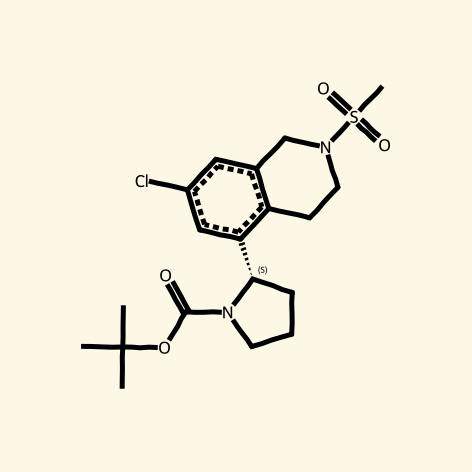 CC(C)(C)OC(=O)N1CCC[C@H]1c1cc(Cl)cc2c1CCN(S(C)(=O)=O)C2